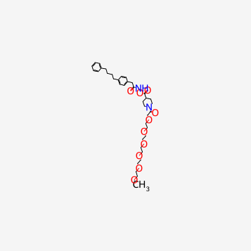 COCCOCCOCCOCCOCCOCC(=O)N1CCC(C(=O)ONC(=O)Cc2ccc(CCCCc3ccccc3)cc2)CC1